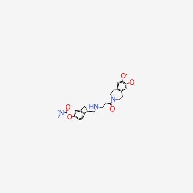 COc1cc2c(cc1OC)CCN(C(=O)CCNCC1Cc3cc(OC(=O)N(C)C)ccc31)CC2